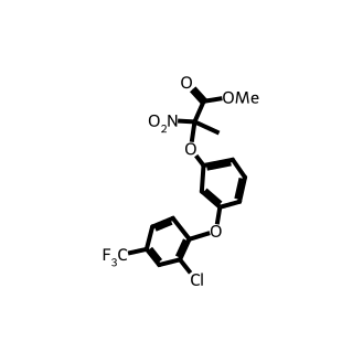 COC(=O)C(C)(Oc1cccc(Oc2ccc(C(F)(F)F)cc2Cl)c1)[N+](=O)[O-]